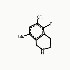 CC(C)(C)c1cc(C(F)(F)F)c(F)c2c1CNCC2